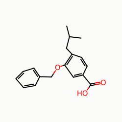 CC(C)Cc1ccc(C(=O)O)cc1OCc1ccccc1